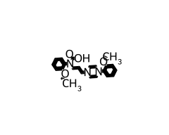 CCOc1ccccc1N(CCCN1CCN(c2ccccc2OC)CC1)C(=O)O